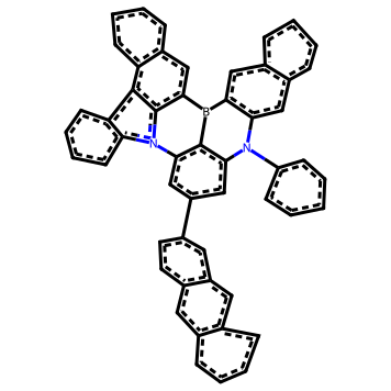 c1ccc(N2c3cc4ccccc4cc3B3c4c2cc(-c2ccc5cc6ccccc6cc5c2)cc4-n2c4ccccc4c4c5ccccc5cc3c42)cc1